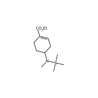 CCOC(=O)C1=CCC(N(C)[Si](C)(C)C)CC1